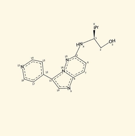 CC(C)[C@@H](CO)Nc1ccc2ncc(-c3ccncc3)n2n1